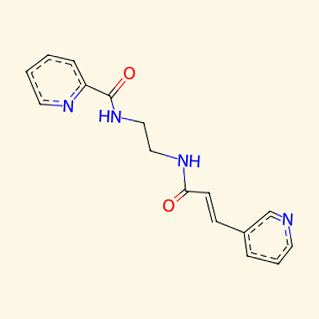 O=C(C=Cc1cccnc1)NCCNC(=O)c1ccccn1